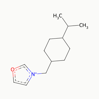 CC(C)C1CCC(C[n+]2ccoc2)CC1